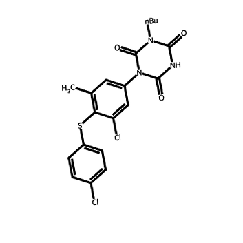 CCCCn1c(=O)[nH]c(=O)n(-c2cc(C)c(Sc3ccc(Cl)cc3)c(Cl)c2)c1=O